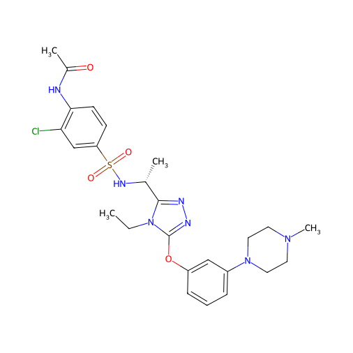 CCn1c(Oc2cccc(N3CCN(C)CC3)c2)nnc1[C@@H](C)NS(=O)(=O)c1ccc(NC(C)=O)c(Cl)c1